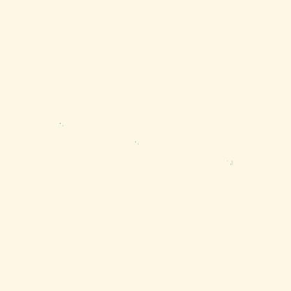 CS(=O)(=O)Nc1ccc(CCN=C(Cl)c2ccc(NS(C)(=O)=O)cc2)cc1